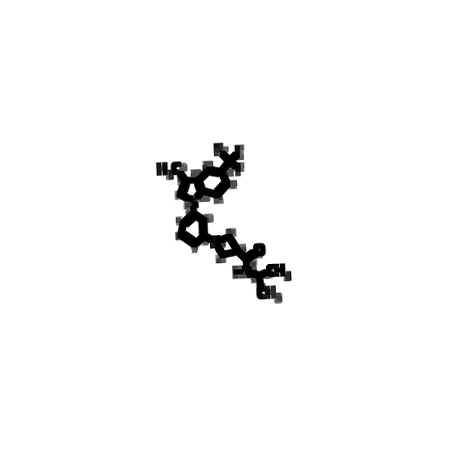 Cc1cn(-c2cccc(N3CC(C(=O)NC(C)C)C3)c2)c2ccc(C(F)(F)F)cc12